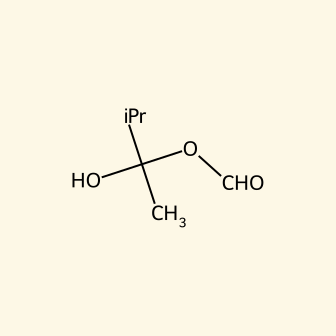 CC(C)C(C)(O)OC=O